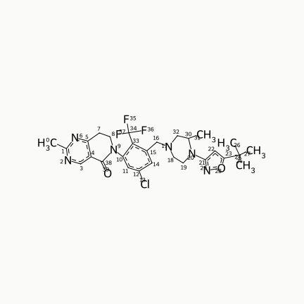 Cc1ncc2c(n1)CCN(c1cc(Cl)cc(CN3CCN(c4cc(C(C)(C)C)on4)C(C)C3)c1C(F)(F)F)C2=O